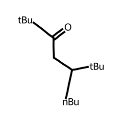 CCCCC(CC(=O)C(C)(C)C)C(C)(C)C